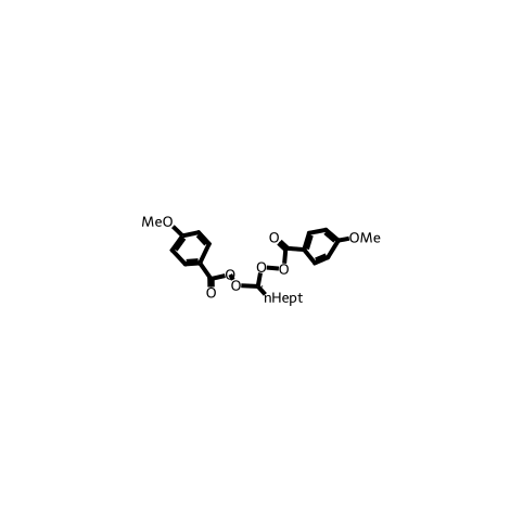 [CH2]CCCCCC[C](OOC(=O)c1ccc(OC)cc1)OOC(=O)c1ccc(OC)cc1